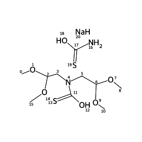 COC(CN(CC(OC)OC)C(O)=S)OC.NC(O)=S.[NaH]